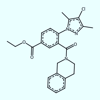 CCOC(=O)c1ccc(-n2nc(C)c(Cl)c2C)c(C(=O)N2CCc3ccccc3C2)c1